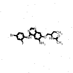 CCC(COc1cc2ncnc(Nc3ccc(Br)cc3F)c2cc1N)NC(C)=O